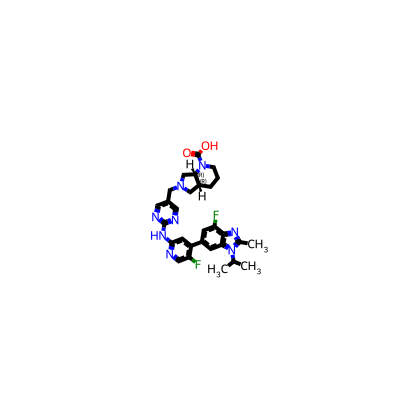 Cc1nc2c(F)cc(-c3cc(Nc4ncc(CN5C[C@H]6CCCN(C(=O)O)[C@H]6C5)cn4)ncc3F)cc2n1C(C)C